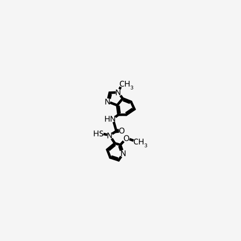 COc1ncccc1N(S)C(=O)Nc1cccc2c1ncn2C